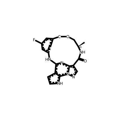 C[C@@H]1COCc2cc(F)cc(c2)Nc2nc3c(cnn3c3[nH]ccc23)C(=O)N1